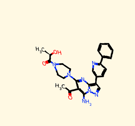 CC(=O)c1c(N2CCN(C(=O)[C@@H](C)O)CC2)nc2c(-c3ccc(-c4ccccc4)nc3)cnn2c1N